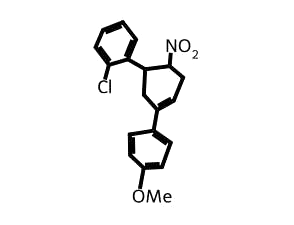 COc1ccc(C2=CCC([N+](=O)[O-])C(c3ccccc3Cl)C2)cc1